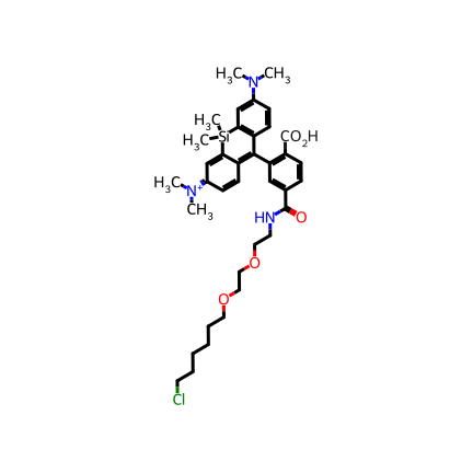 CN(C)c1ccc2c(c1)[Si](C)(C)C1=CC(=[N+](C)C)C=CC1=C2c1cc(C(=O)NCCOCCOCCCCCCCl)ccc1C(=O)O